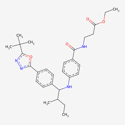 CCOC(=O)CCNC(=O)c1ccc(NC(c2ccc(-c3nnc(C(C)(C)C)o3)cc2)C(C)CC)cc1